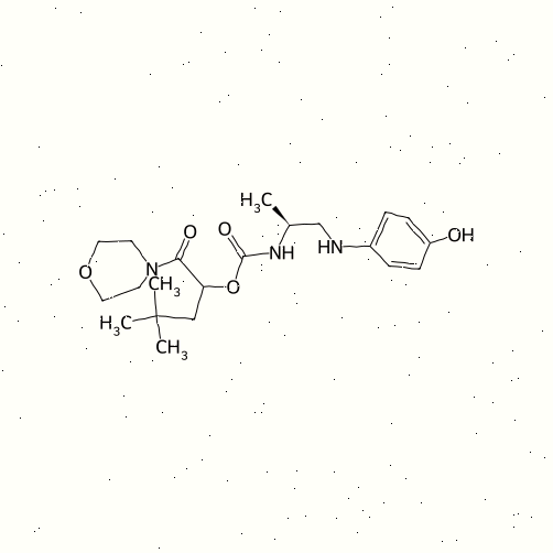 C[C@@H](CNc1ccc(O)cc1)NC(=O)OC(CC(C)(C)C)C(=O)N1CCOCC1